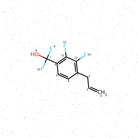 C=CCc1ccc(C(O)(F)F)c(F)c1F